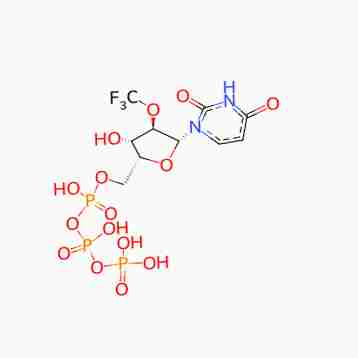 O=c1ccn([C@@H]2O[C@H](COP(=O)(O)OP(=O)(O)OP(=O)(O)O)[C@H](O)[C@H]2OC(F)(F)F)c(=O)[nH]1